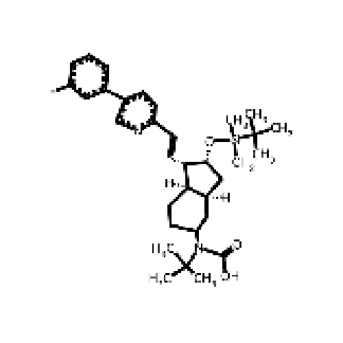 CC(C)(C)N(C(=O)O)C1CC[C@@H]2[C@H](C1)C[C@@H](O[Si](C)(C)C(C)(C)C)[C@H]2C=Cc1ccc(-c2cccc(F)c2)cn1